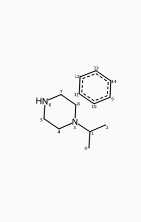 CC(C)N1CCNCC1.c1ccccc1